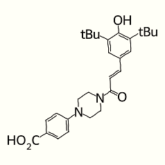 CC(C)(C)c1cc(C=CC(=O)N2CCN(c3ccc(C(=O)O)cc3)CC2)cc(C(C)(C)C)c1O